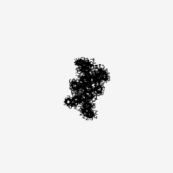 CC1(C)c2ccccc2-c2ccc(N(c3ccc4c(c3)C(C)(C)c3ccccc3-4)c3ccc4c(C5CCCCC5)c5cc(N(c6ccc7c(c6)C(C)(C)c6ccccc6-7)c6ccc7c(c6)C(C)(C)c6ccccc6-7)ccc5c(C5CCCCC5)c4c3)cc21